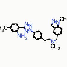 Cc1ccc(-c2nnn(-c3ccc(CCN(C)Cc4ccc5c(cnn5C)c4)cc3)n2)c(N)c1